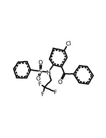 O=C(c1ccccc1)c1cc(Cl)ccc1N(CC(F)(F)F)S(=O)(=O)c1ccccc1